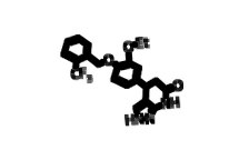 CCOc1cc(C2CC(=O)Nc3n[nH]cc32)ccc1OCc1ccccc1C(F)(F)F